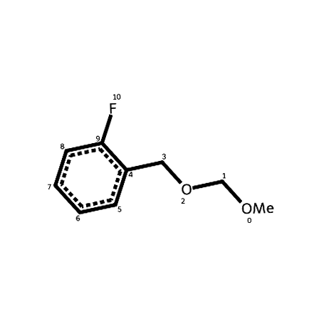 COCOCc1ccccc1F